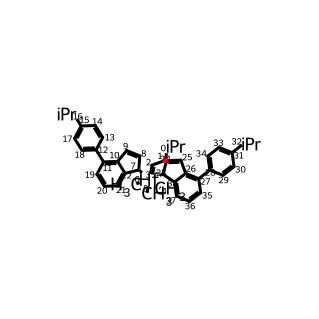 CC(C)C[CH]=[Hf]([CH3])([CH3])([CH3])([CH]1C=Cc2c(-c3ccc(C(C)C)cc3)cccc21)[CH]1C=Cc2c(-c3ccc(C(C)C)cc3)cccc21